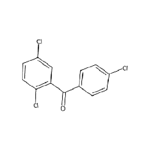 O=C(c1ccc(Cl)cc1)c1cc(Cl)ccc1Cl